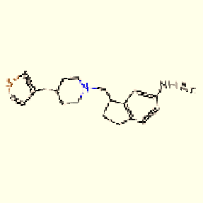 CC(=O)Nc1ccc2c(c1)C(CN1CCC(c3ccsc3)CC1)CC2